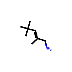 C/C(=C\C(C)(C)C)CN